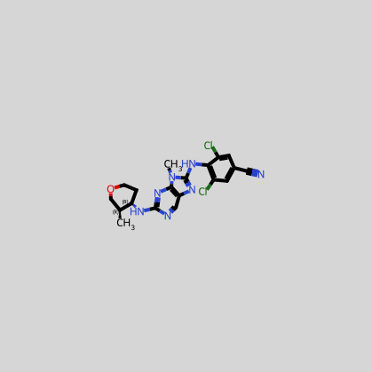 C[C@H]1COCC[C@H]1Nc1ncc2nc(Nc3c(Cl)cc(C#N)cc3Cl)n(C)c2n1